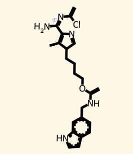 C=C(Cl)/N=C(/N)C1=C(C)C(CCCCOC(=C)NCc2ccc3cc[nH]c3c2)C=N1